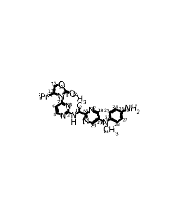 CC(Nc1nccc(N2C(=O)OCC2C(C)C)n1)c1ncc(N(C)c2ccc(N)cc2)cn1